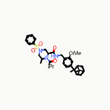 COc1cc(C2(C)CCC3CC2C3(C)C)ccc1CNC(=O)C1CN(S(=O)(=O)c2ccccc2)CC(C)N1C(=O)C(C)C